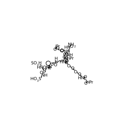 CC(C)C(=O)CCC(=O)NCCOCCOCCOCCOCCC(=O)N[C@H](CCCCNC(=O)COC1CCCCCc2c1nnn2CCN(CC(=O)NCCS(=O)(=O)O)CC(=O)NCCS(=O)(=O)O)C(=O)N[C@H](C(=O)N[C@@H](CCCNC(N)=O)C(=O)Nc1ccc(COC(=O)C(C)C)cc1)C(C)C